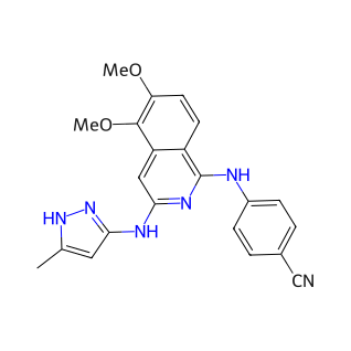 COc1ccc2c(Nc3ccc(C#N)cc3)nc(Nc3cc(C)[nH]n3)cc2c1OC